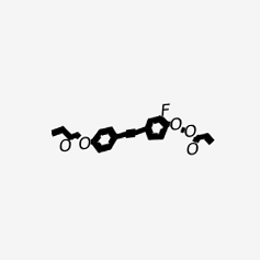 C=CC(=O)COc1ccc(C#Cc2ccc(OCOC(=O)C=C)c(F)c2)cc1